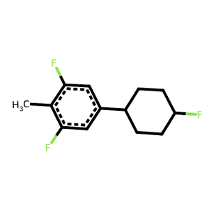 Cc1c(F)cc(C2CCC(F)CC2)cc1F